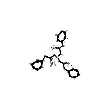 NC(Cc1ccccc1)CN(CC(N)Cc1ccccc1)CC(N)Cc1ccccc1